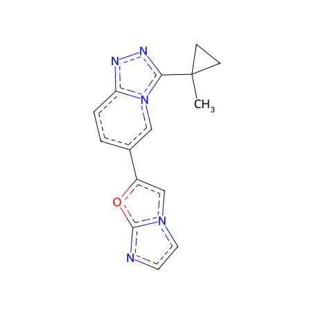 CC1(c2nnc3ccc(-c4cn5ccnc5o4)cn23)CC1